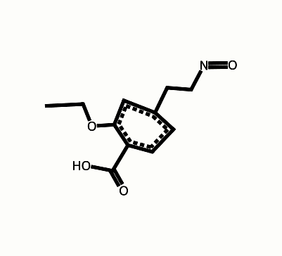 CCOc1cc(CCN=O)ccc1C(=O)O